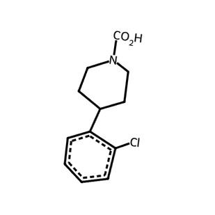 O=C(O)N1CCC(c2ccccc2Cl)CC1